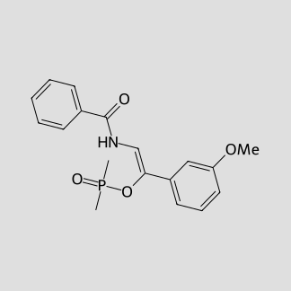 COc1cccc(C(=CNC(=O)c2ccccc2)OP(C)(C)=O)c1